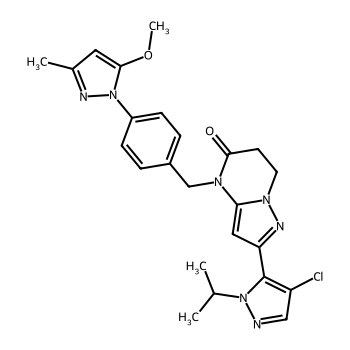 COc1cc(C)nn1-c1ccc(CN2C(=O)CCn3nc(-c4c(Cl)cnn4C(C)C)cc32)cc1